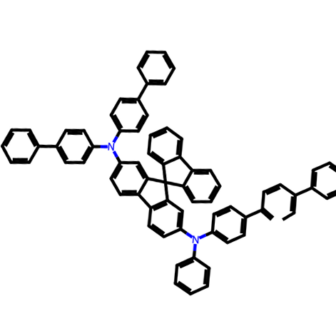 C=C(/C=C\C(=C/C)c1ccccc1)c1ccc(N(c2ccccc2)c2ccc3c(c2)C2(c4ccccc4-c4ccccc42)c2cc(N(c4ccc(-c5ccccc5)cc4)c4ccc(-c5ccccc5)cc4)ccc2-3)cc1